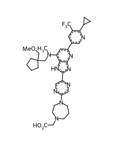 COCC1(CN(C)c2cc(-c3cnc(C4CC4)c(C(F)(F)F)c3)nc3nc(-c4cnc(N5CCCN(CC(=O)O)CC5)cn4)[nH]c23)CCCC1